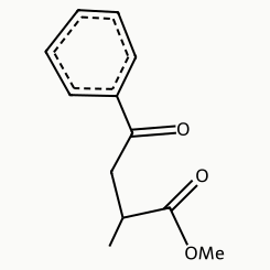 COC(=O)C(C)CC(=O)c1ccccc1